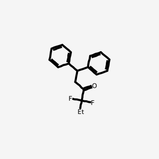 CCC(F)(F)C(=O)CC(c1ccccc1)c1ccccc1